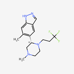 Cc1cc2[nH]ncc2cc1[C@H]1CN(C)CCN1CCC(F)(F)F